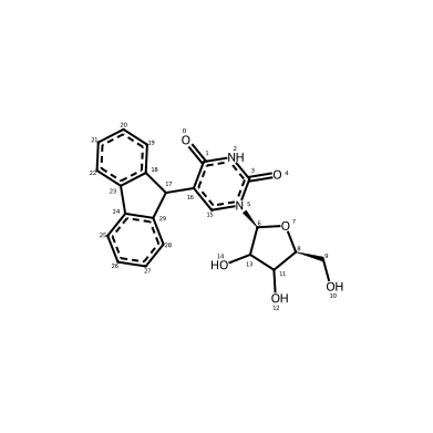 O=c1[nH]c(=O)n([C@H]2O[C@@H](CO)C(O)C2O)cc1C1c2ccccc2-c2ccccc21